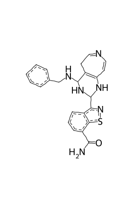 NC(=O)c1cccc2c(C3NC4=C(CC=NC=C4)C(NCc4ccccc4)N3)nsc12